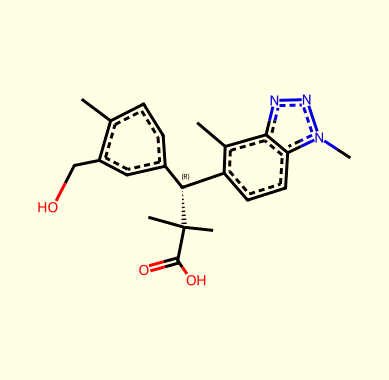 Cc1ccc([C@H](c2ccc3c(nnn3C)c2C)C(C)(C)C(=O)O)cc1CO